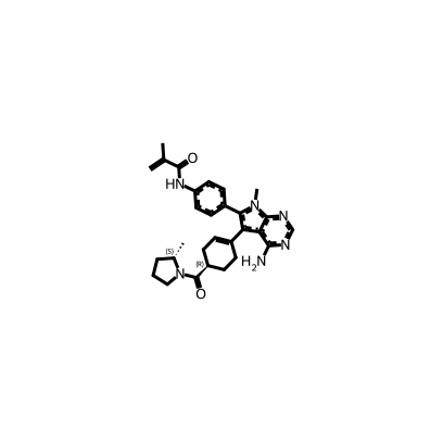 C=C(C)C(=O)Nc1ccc(-c2c(C3=CC[C@H](C(=O)N4CCC[C@@H]4C)CC3)c3c(N)ncnc3n2C)cc1